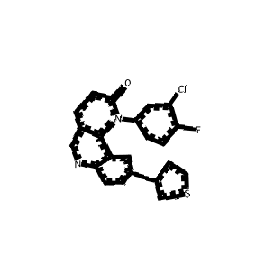 O=c1ccc2cnc3ccc(-c4ccsc4)cc3c2n1-c1ccc(F)c(Cl)c1